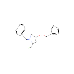 FCC1CC(OCc2ccccc2)CN1Cc1ccccc1